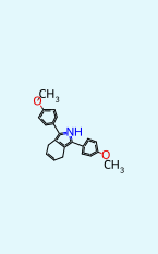 COc1ccc(-c2[nH]c(-c3ccc(OC)cc3)c3c2CC=CC3)cc1